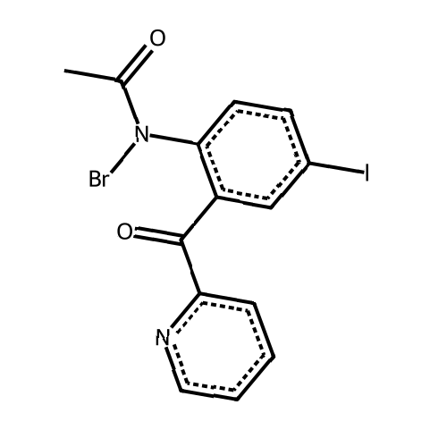 CC(=O)N(Br)c1ccc(I)cc1C(=O)c1ccccn1